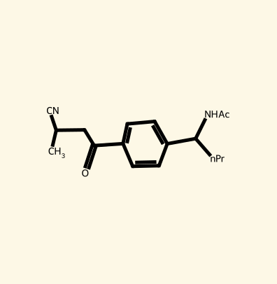 CCCC(NC(C)=O)c1ccc(C(=O)CC(C)C#N)cc1